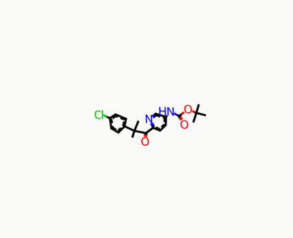 CC(C)(C)OC(=O)Nc1ccc(C(=O)C(C)(C)c2ccc(Cl)cc2)nc1